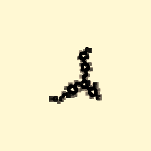 CC(=O)c1ccc(-c2ccc(C=Cc3nc(-c4ccc(Cl)cc4Cl)cn3Cc3ccc(NCC(=O)O)cc3)cc2)s1